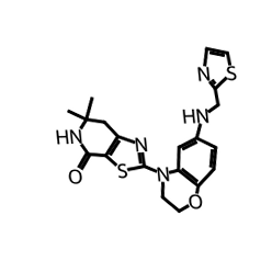 CC1(C)Cc2nc(N3CCOc4ccc(NCc5nccs5)cc43)sc2C(=O)N1